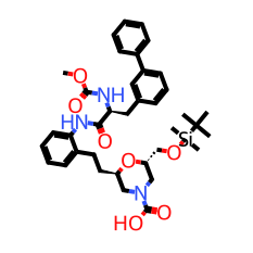 COC(=O)N[C@@H](Cc1cccc(-c2ccccc2)c1)C(=O)Nc1ccccc1CC[C@@H]1CN(C(=O)O)C[C@@H](CO[Si](C)(C)C(C)(C)C)O1